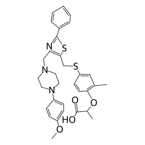 COc1ccc(N2CCN(Cc3nc(-c4ccccc4)sc3CSc3ccc(OC(C)C(=O)O)c(C)c3)CC2)cc1